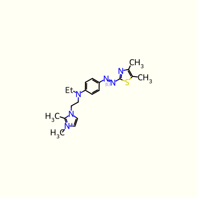 CCN(CCn1cc[n+](C)c1C)c1ccc(/N=N/c2nc(C)c(C)s2)cc1